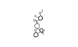 CCOc1cccc(C(=O)N2CCC3(CC2)Oc2ccccc2-c2c3cnn2C)c1F